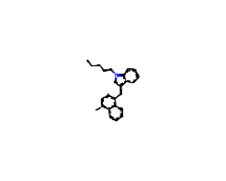 CCCCCn1cc(Cc2ccc(C)c3ccccc23)c2ccccc21